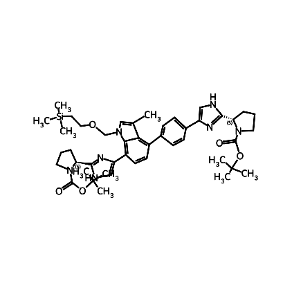 Cc1cn(COCC[Si](C)(C)C)c2c(-c3c[nH]c([C@@H]4CCCN4C(=O)OC(C)(C)C)n3)ccc(-c3ccc(-c4c[nH]c([C@@H]5CCCN5C(=O)OC(C)(C)C)n4)cc3)c12